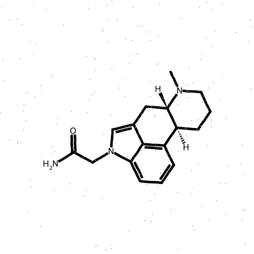 CN1CCC[C@H]2c3cccc4c3c(cn4CC(N)=O)C[C@@H]21